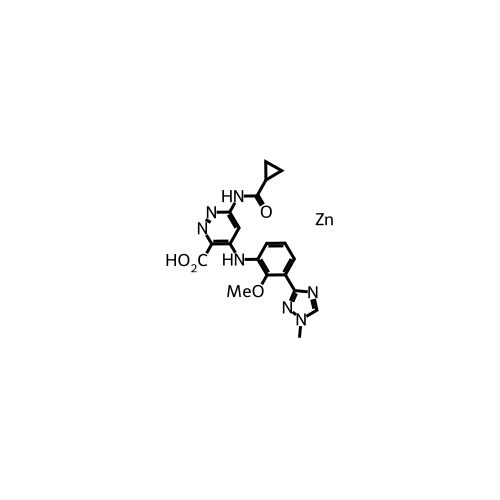 COc1c(Nc2cc(NC(=O)C3CC3)nnc2C(=O)O)cccc1-c1ncn(C)n1.[Zn]